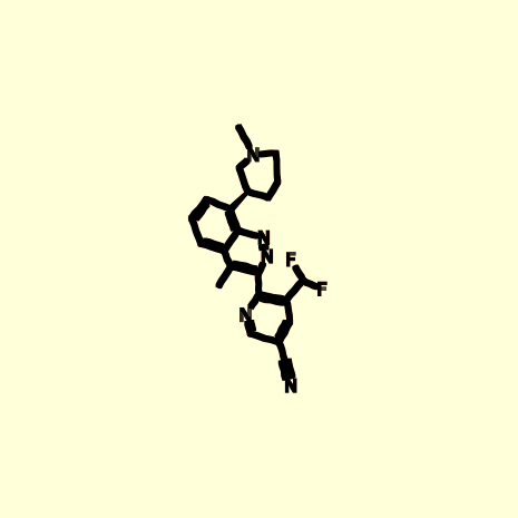 Cc1c(-c2ncc(C#N)cc2C(F)F)nnc2c([C@@H]3CCCN(C)C3)cccc12